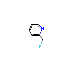 FCc1ccccn1